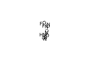 O=C(Nc1cccnn1)N1CCC(c2ccnc(-c3cccc(F)c3F)n2)CC1